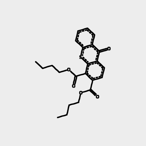 CCCCOC(=O)c1ccc2c(=O)c3ccccc3sc2c1C(=O)OCCCC